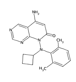 Cc1cccc(C)c1N(C1CCC1)n1c(=O)cc(N)c2cncnc21